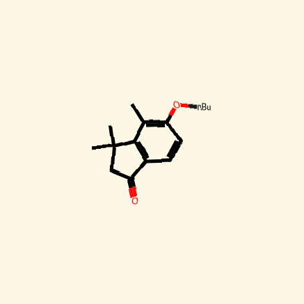 CCCCOc1ccc2c(c1C)C(C)(C)CC2=O